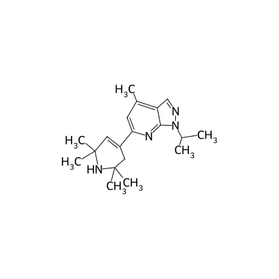 Cc1cc(C2=CC(C)(C)NC(C)(C)C2)nc2c1cnn2C(C)C